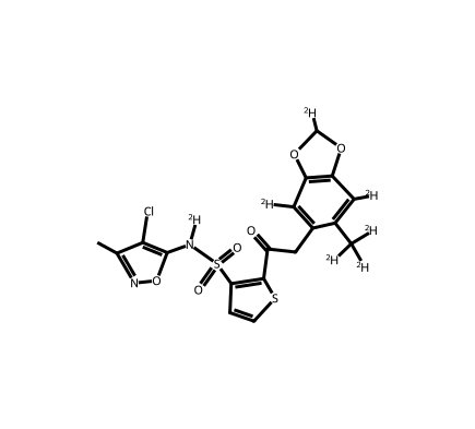 [2H]c1c(CC(=O)c2sccc2S(=O)(=O)N([2H])c2onc(C)c2Cl)c(C([2H])([2H])[2H])c([2H])c2c1OC([2H])O2